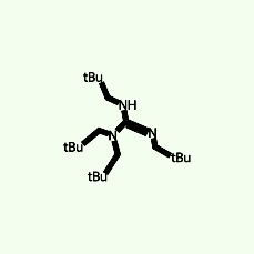 CC(C)(C)CN=C(NCC(C)(C)C)N(CC(C)(C)C)CC(C)(C)C